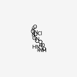 C[C@@H]1CNc2c(oc3ccc4nc(Oc5cc(Cl)nc(O[C@H]6CCOC6)n5)ccc4c23)C(=O)N1